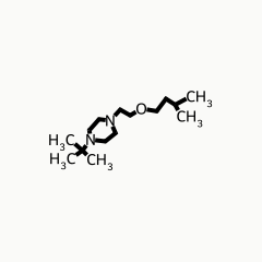 CC(C)CCOCCN1CCN(C(C)(C)C)CC1